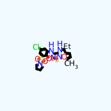 CC[C@@H](Nc1nsnc1Nc1cc(Cl)cc(S(=O)(=O)N2CCCC2)c1O)c1ccc(C)o1